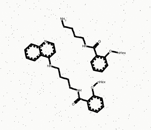 CCCCCCOc1ccccc1C(=O)NCCCCN.CCCCCCOc1ccccc1C(=O)NCCCCNc1ccnc2ccccc12